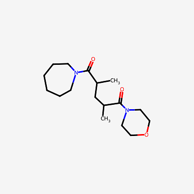 CC(CC(C)C(=O)N1CCOCC1)C(=O)N1CCCCCC1